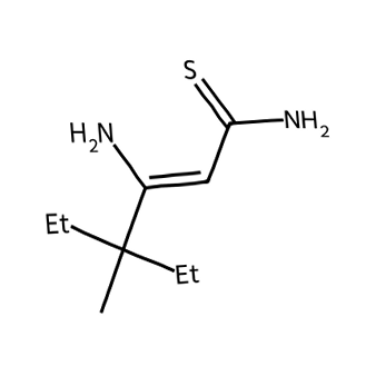 CCC(C)(CC)C(N)=CC(N)=S